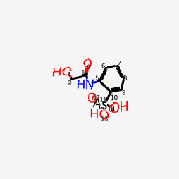 O=C(CO)Nc1ccccc1[As](=O)(O)O